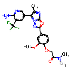 COc1cc(-c2nn3c(-c4cnc(N)c(C(F)(F)F)c4)c(C)nc3o2)ccc1OCC(=O)N(C)C